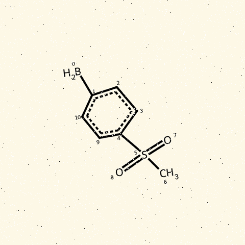 Bc1ccc(S(C)(=O)=O)cc1